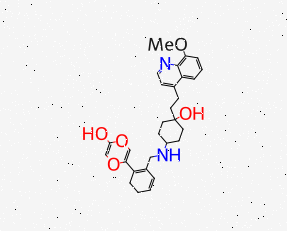 COc1cccc2c(CCC3(O)CCC(NCC4=C(C5=COC(O)=CO5)CCC=C4)CC3)ccnc12